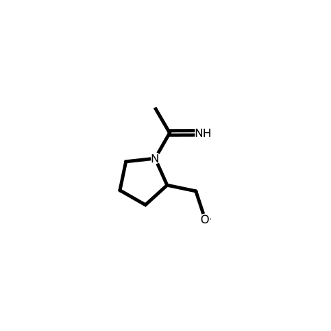 CC(=N)N1CCCC1C[O]